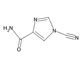 N#Cn1cnc(C(N)=O)c1